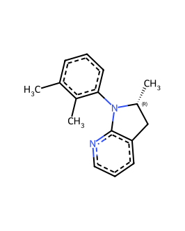 Cc1cccc(N2c3ncccc3C[C@H]2C)c1C